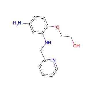 Nc1ccc(OCCO)c(NCc2ccccn2)c1